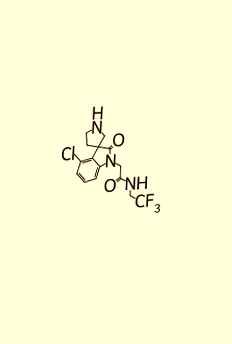 O=C(CN1C(=O)C2(CCNC2)c2c(Cl)cccc21)NCC(F)(F)F